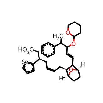 CC(c1ccccc1)C(/C=C/C1[C@H]2CC[C@H](O2)[C@H]1C/C=C\C[C@H](CC(=O)O)c1ccc[se]1)OC1CCCCO1